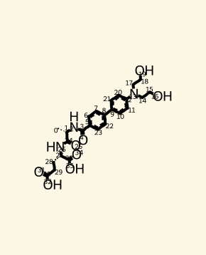 C[C@H](NC(=O)c1ccc(-c2ccc(N(CCO)CCO)cc2)cc1)C(=O)N[C@@H](CCC(=O)O)C(=O)O